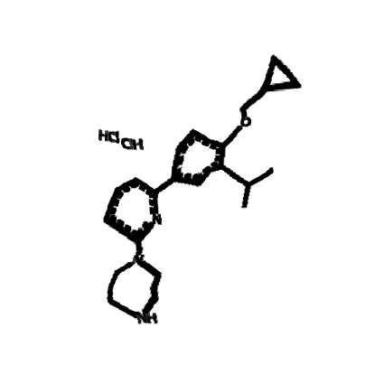 CC(C)c1cc(-c2cccc(N3CCNCC3)n2)ccc1OCC1CC1.Cl.Cl